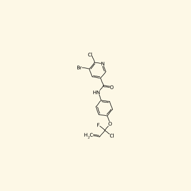 C=CC(F)(Cl)Oc1ccc(NC(=O)c2cnc(Cl)c(Br)c2)cc1